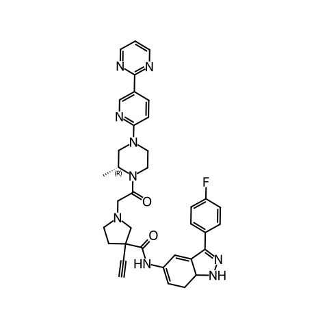 C#CC1(C(=O)NC2=CCC3NN=C(c4ccc(F)cc4)C3=C2)CCN(CC(=O)N2CCN(c3ccc(-c4ncccn4)cn3)C[C@H]2C)C1